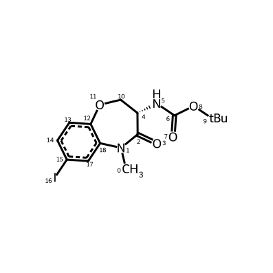 CN1C(=O)[C@@H](NC(=O)OC(C)(C)C)COc2ccc(I)cc21